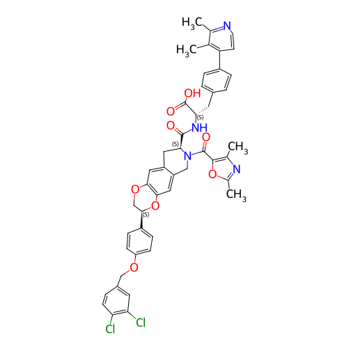 Cc1nc(C)c(C(=O)N2Cc3cc4c(cc3C[C@H]2C(=O)N[C@@H](Cc2ccc(-c3ccnc(C)c3C)cc2)C(=O)O)OC[C@H](c2ccc(OCc3ccc(Cl)c(Cl)c3)cc2)O4)o1